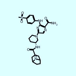 CS(=O)(=O)c1ccc(Nc2nc(N3CCC[C@@H](NC(=O)C4CC5CCC(C4)N5)C3)cnc2C(N)=O)cc1